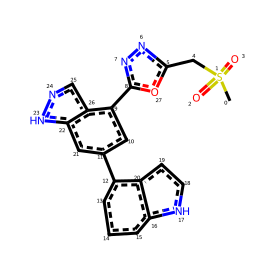 CS(=O)(=O)Cc1nnc(-c2cc(-c3cccc4[nH]ccc34)cc3[nH]ncc23)o1